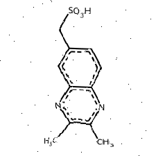 Cc1nc2ccc(CS(=O)(=O)O)cc2nc1C